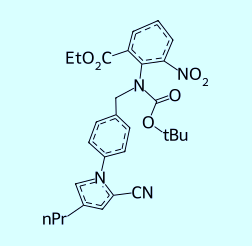 CCCc1cc(C#N)n(-c2ccc(CN(C(=O)OC(C)(C)C)c3c(C(=O)OCC)cccc3[N+](=O)[O-])cc2)c1